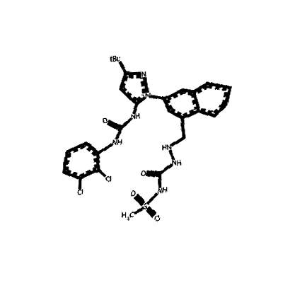 CC(C)(C)c1cc(NC(=O)Nc2cccc(Cl)c2Cl)n(-c2cc(CNNC(=O)NS(C)(=O)=O)c3ccccc3c2)n1